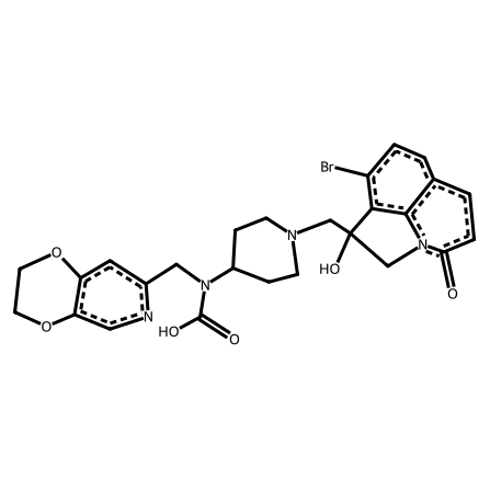 O=C(O)N(Cc1cc2c(cn1)OCCO2)C1CCN(CC2(O)Cn3c(=O)ccc4ccc(Br)c2c43)CC1